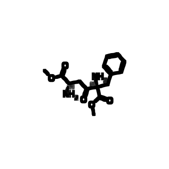 COC(=O)[C@@H](N)CC(=O)[C@](N)(Cc1ccccc1)C(=O)OC